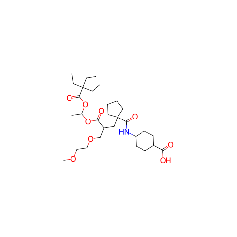 CCC(CC)(CC)C(=O)OC(C)OC(=O)C(COCCOC)CC1(C(=O)NC2CCC(C(=O)O)CC2)CCCC1